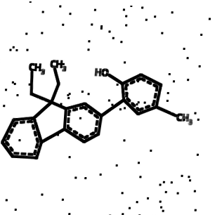 CCC1(CC)c2ccccc2-c2ccc(-c3cc(C)ccc3O)cc21